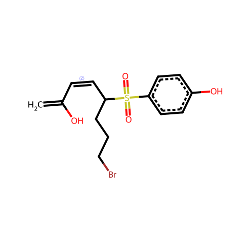 C=C(O)/C=C\C(CCCBr)S(=O)(=O)c1ccc(O)cc1